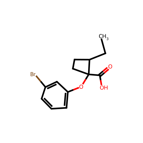 CCC1CCC1(Oc1cccc(Br)c1)C(=O)O